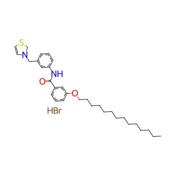 Br.CCCCCCCCCCCCCCOc1cccc(C(=O)Nc2cccc(CN3C=CSC3)c2)c1